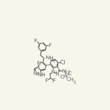 CS(=O)(=O)Nc1nn(CC(F)F)c2c(-c3cc4[nH]ncc4nc3[C@@H](N)Cc3cc(F)cc(F)c3)ccc(Cl)c12